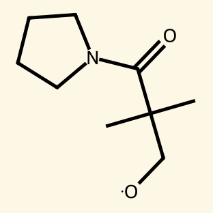 CC(C)(C[O])C(=O)N1CCCC1